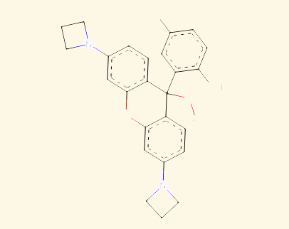 Cc1ccc(C(=O)O)cc1C1(OC=O)c2ccc(N3CCC3)cc2Oc2cc(N3CCC3)ccc21